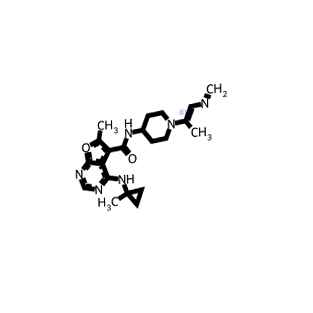 C=N/C=C(\C)N1CCC(NC(=O)c2c(C)oc3ncnc(NC4(C)CC4)c23)CC1